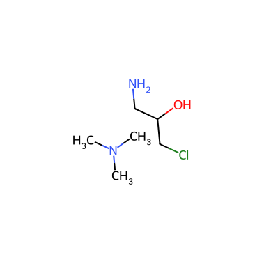 CN(C)C.NCC(O)CCl